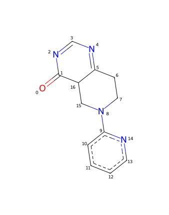 O=C1N=CN=C2CCN(c3ccccn3)CC12